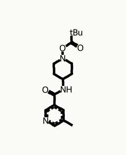 Cc1cncc(C(=O)NC2CCN(OC(=O)C(C)(C)C)CC2)c1